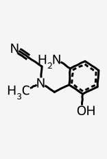 CN(CC#N)Cc1c(N)cccc1O